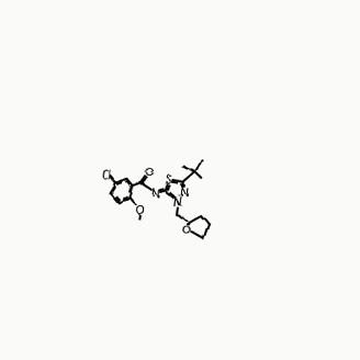 COc1ccc(Cl)cc1C(=O)/N=c1\sc(C(C)(C)C)nn1C[C@H]1CCCO1